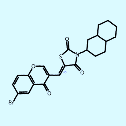 O=C1S/C(=C\c2coc3ccc(Br)cc3c2=O)C(=O)N1C1CCC2CCCCC2C1